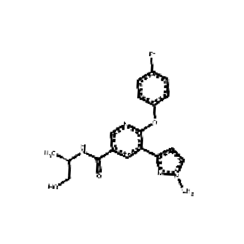 CCc1ccc(Oc2ncc(C(=O)N[C@H](C)CO)cc2-c2ccn(C)n2)cc1